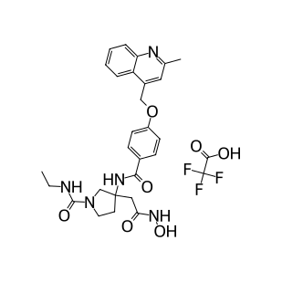 CCNC(=O)N1CCC(CC(=O)NO)(NC(=O)c2ccc(OCc3cc(C)nc4ccccc34)cc2)C1.O=C(O)C(F)(F)F